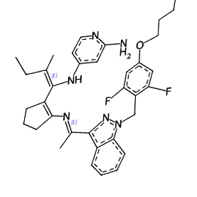 CCCCOc1cc(F)c(Cn2nc(/C(C)=N/C3=C(C(/Nc4ccnc(N)c4)=C(/C)CC)CCC3)c3ccccc32)c(F)c1